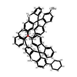 CC(C)(C)c1ccc2c(c1)C1(c3ccccc3Oc3ccc(N(c4ccccc4)c4ccc5c(c4)C4(c6cc(C7CCCCC7)ccc6Oc6ccc(C7CCCCC7)cc64)c4ccccc4-5)cc31)c1cc(C(C)(C)C)ccc1-2